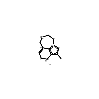 Cc1cn2c3c1[C@H](C)CC=C3CNCC2